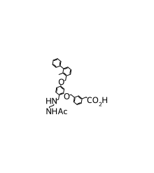 CC(=O)NCCNCc1ccc(OCc2cccc(-c3ccccc3)c2C)cc1OCc1cccc(CC(=O)O)c1